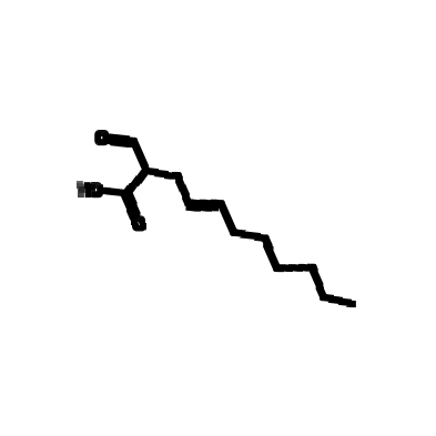 CCCCCCC=CCC(C=O)C(=O)O